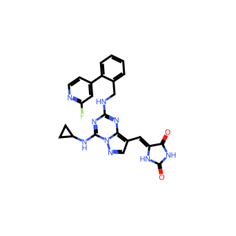 O=C1NC(=O)/C(=C/c2cnn3c(NC4CC4)nc(NCc4ccccc4-c4ccnc(F)c4)nc23)N1